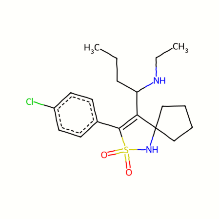 CCCC(NCC)C1=C(c2ccc(Cl)cc2)S(=O)(=O)NC12CCCC2